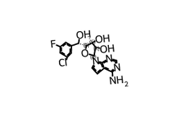 C[C@@]1(O)[C@@H](C(O)c2cc(F)cc(Cl)c2)O[C@@H](n2ccc3c(N)ncnc32)[C@@H]1O